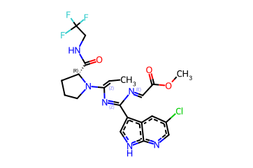 C\C=C(/N=C(\N=C\C(=O)OC)c1c[nH]c2ncc(Cl)cc12)N1CCC[C@@H]1C(=O)NCC(F)(F)F